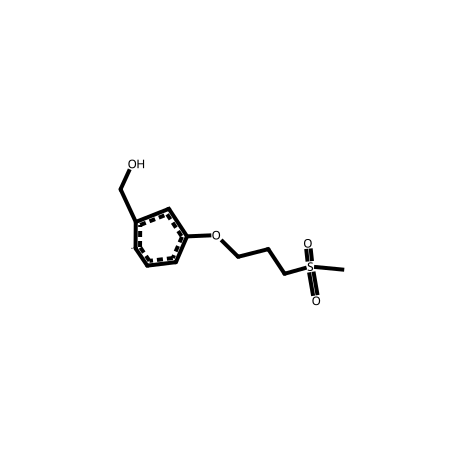 CS(=O)(=O)CCCOc1cc[c]c(CO)c1